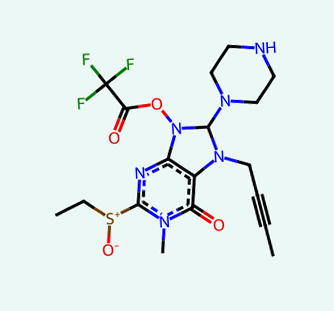 CC#CCN1c2c(nc([S+]([O-])CC)n(C)c2=O)N(OC(=O)C(F)(F)F)C1N1CCNCC1